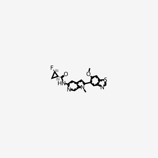 COc1cc2scnc2cc1-c1cc2cc(NC(=O)[C@@H]3C[C@@H]3F)ncc2n1C